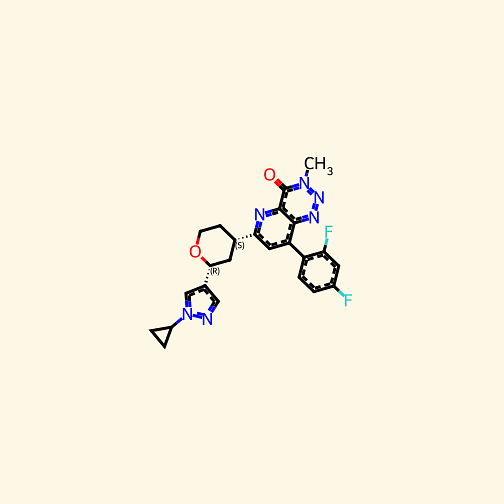 Cn1nnc2c(-c3ccc(F)cc3F)cc([C@H]3CCO[C@@H](c4cnn(C5CC5)c4)C3)nc2c1=O